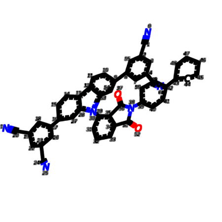 N#Cc1cc(C#N)cc(-c2ccc3c4ccc(-c5cc(C#N)cc(C#N)c5)cc4n(-c4cccc5c4C(=O)N(c4ccc(-c6ccccc6)cc4)C5=O)c3c2)c1